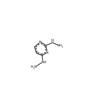 NNc1ccnc(NN)n1